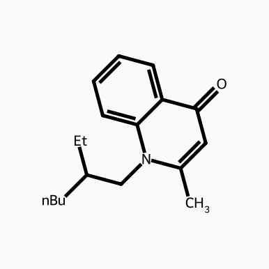 CCCCC(CC)Cn1c(C)cc(=O)c2ccccc21